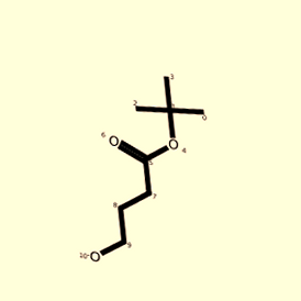 CC(C)(C)OC(=O)CCC[O]